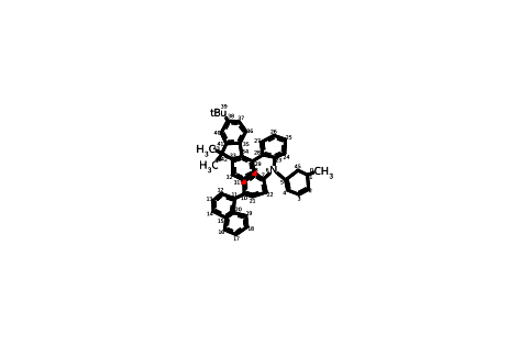 CC1C=CC=C(N(c2ccc(-c3cccc4ccccc34)cc2)c2ccccc2-c2cccc3c2-c2ccc(C(C)(C)C)cc2C3(C)C)C1